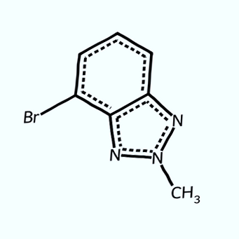 Cn1nc2cccc(Br)c2n1